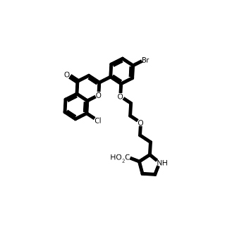 O=C(O)C1CCNC1CCOCCOc1cc(Br)ccc1-c1cc(=O)c2cccc(Cl)c2o1